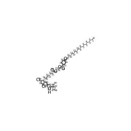 CCCCCCCCCCCCCCCCCCOc1ccc(C(=O)OCCOC(=O)CCCC=CC[C@@H]2[C@@H](C=CC[C@H](O)C3(CC)CCC3)[C@H](O)C[C@H]2Cl)cc1